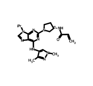 C=CC(=O)N[C@H]1CCN(c2nc(Nc3cn(C)nc3C)c3ncn(C(C)C)c3n2)C1